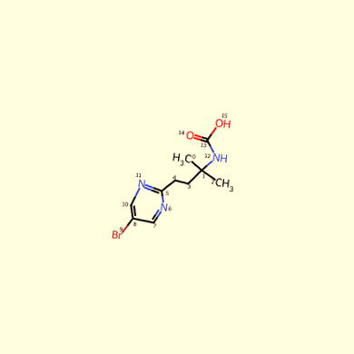 CC(C)(CCc1ncc(Br)cn1)NC(=O)O